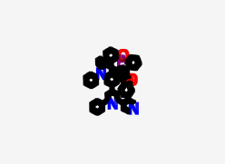 O=P1(c2ccccc2)c2ccccc2C2(c3ccccc3N(c3ccccc3)c3cc(-c4cc(-c5ccccc5)nc(-c5ccncc5)c4)ccc32)c2cc3c(cc21)oc1ccccc13